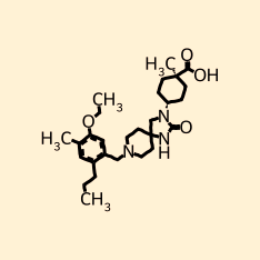 CCCc1cc(C)c(OCC)cc1CN1CCC2(CC1)CN([C@H]1CC[C@](C)(C(=O)O)CC1)C(=O)N2